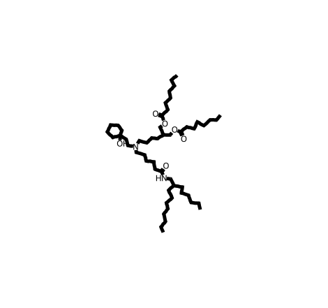 CCCCCCCCC(CCCCCC)CNC(=O)CCCCCN(CCCCC(COC(=O)CCCCCCC)COC(=O)CCCCCCC)CCC1(O)CCCCC1